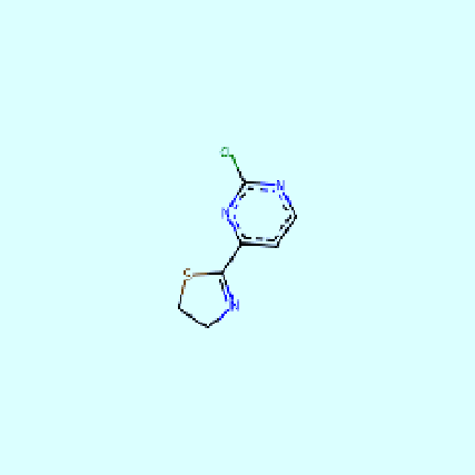 Clc1nccc(C2=NCCS2)n1